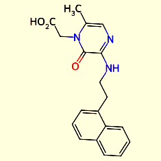 Cc1cnc(NCCc2cccc3ccccc23)c(=O)n1CC(=O)O